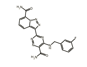 NC(=O)c1nnc(-c2nnn3c(C(N)=O)cccc23)nc1NCc1cccc(F)c1